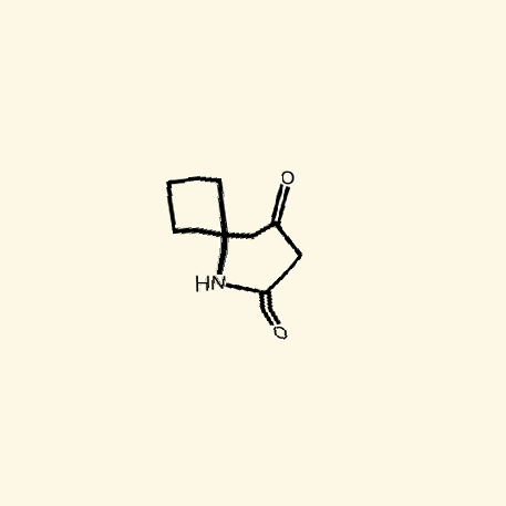 O=C1CC(=O)C2(CCC2)N1